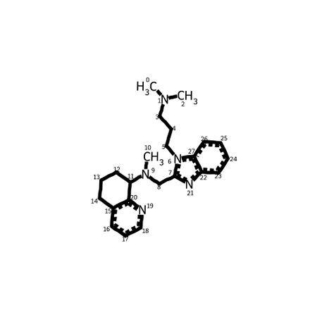 CN(C)CCCn1c(CN(C)C2CCCc3cccnc32)nc2ccccc21